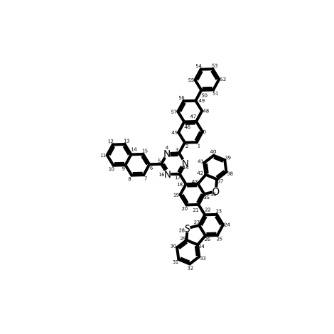 C1=CC(c2nc(-c3ccc4ccccc4c3)nc(-c3ccc(-c4cccc5c4sc4ccccc45)c4oc5ccccc5c34)n2)CC2=C1CC(c1ccccc1)C=C2